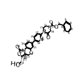 O=C(OCc1ccccc1)N1CCN(c2ccc(-c3ccc4c(c3)OC[C@H]3[C@H](CO)OC(=O)N43)cn2)C(=O)C1